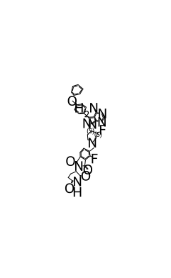 Nc1ncnc2c1c(-c1ccc(Oc3ccccc3)cc1)nn2[C@H]1CCN(Cc2ccc3c(c2F)C(=O)N(C2CCC(=O)NC2=O)C3=O)C[C@@H]1F